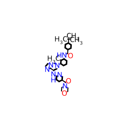 Cc1c(NC(=O)c2ccc(C(C)(C)C)cc2)cccc1N1C=C(Nc2ccc(C(=O)N3CCOCC3)cn2)C2=NC=C[N+]2C1